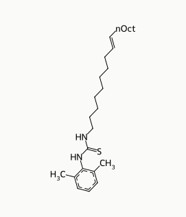 CCCCCCCCC=CCCCCCCCCNC(=S)Nc1c(C)cccc1C